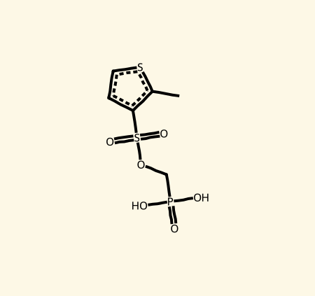 Cc1sccc1S(=O)(=O)OCP(=O)(O)O